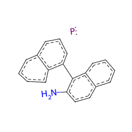 Nc1ccc2ccccc2c1-c1cccc2ccccc12.[P]